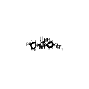 N=C(NC(=N)N1CCC(F)CC1)Nc1ccc(OC(F)(F)F)cc1